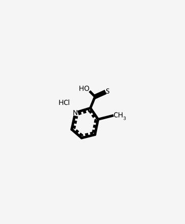 Cc1cccnc1C(O)=S.Cl